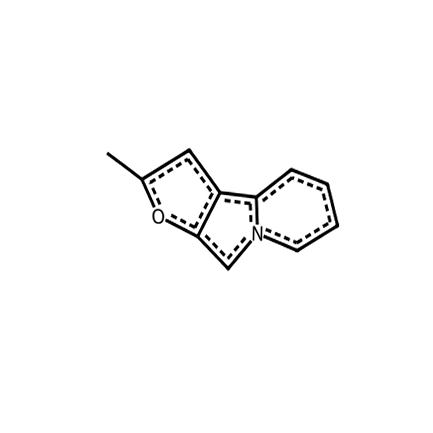 Cc1cc2c(cn3ccccc23)o1